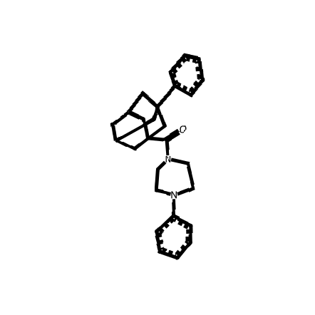 O=C(N1CCN(c2ccccc2)CC1)C12CC3CC(C1)CC(c1ccccc1)(C3)C2